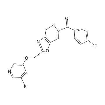 O=C(c1ccc(F)cc1)N1CCc2nc(COc3cncc(F)c3)oc2C1